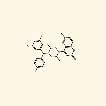 CC1CN(c2cc(=O)n(C)c3ccc(C#N)nc23)[C@@H](C)CN1C(c1ccc(F)cc1)c1cc(F)cc(F)c1